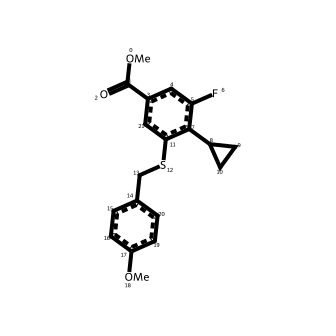 COC(=O)c1cc(F)c(C2CC2)c(SCc2ccc(OC)cc2)c1